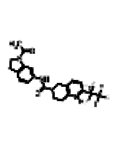 CC(=O)N1CCc2ccc(NC(=O)C3CCc4nc(C(C)(C)C(F)(F)F)ccc4C3)cc21